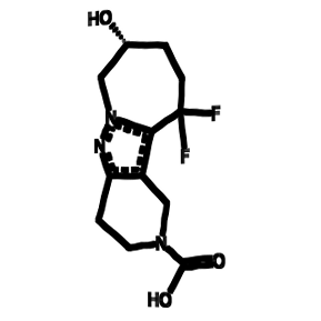 O=C(O)N1CCc2nn3c(c2C1)C(F)(F)CC[C@@H](O)C3